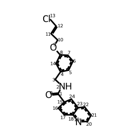 O=C(NCc1cccc(OC/C=C/Cl)c1)c1ccc2ncccc2c1